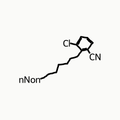 CCCCCCCCCCCCCCCCc1c(Cl)cccc1C#N